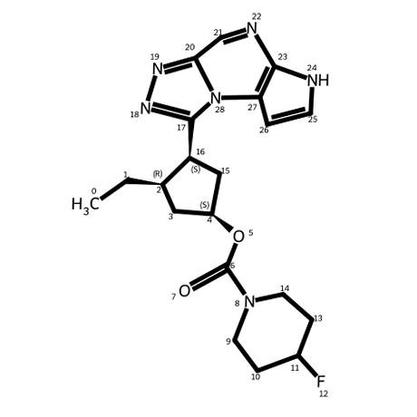 CC[C@@H]1C[C@H](OC(=O)N2CCC(F)CC2)C[C@@H]1c1nnc2cnc3[nH]ccc3n12